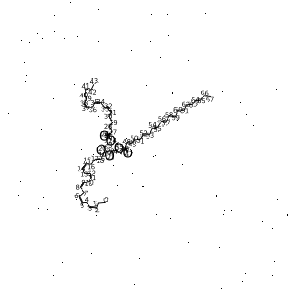 CC/C=C\C/C=C\C/C=C\C/C=C\C/C=C\CCCC(=O)O[C@H](COC(=O)CCCC/C=C\C/C=C\C/C=C\C/C=C\CC)COC(=O)CCCCCCCCCCCCCCCCCCCC